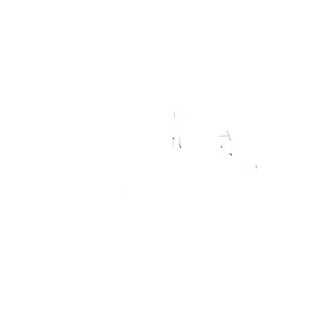 [O]N(C=[NH+][O-])c1ccccc1